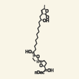 CCCCCCCCCC[C@H](O)C1CC[C@H]([C@@H]2CC[C@H]([C@H](O)CCCCCCCCCCC(O)CC3=CC(C)OC3=O)O2)O1